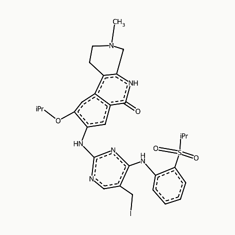 CC(C)Oc1cc2c3c([nH]c(=O)c2cc1Nc1ncc(CI)c(Nc2ccccc2S(=O)(=O)C(C)C)n1)CN(C)CC3